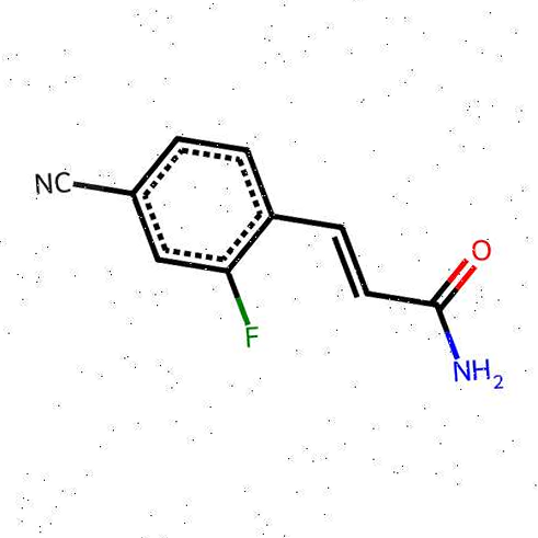 N#Cc1ccc(C=CC(N)=O)c(F)c1